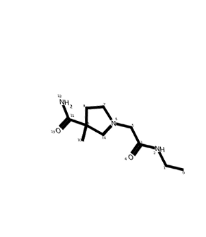 CCNC(=O)CN1CCC(C)(C(N)=O)C1